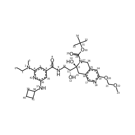 CCN(C)c1cc(C(=O)NC[C@@H](O)[C@@]2(O)Cc3cnc(OCOC)cc3CN2C(=O)OC(C)(C)C)cc(NC2CCC2)n1